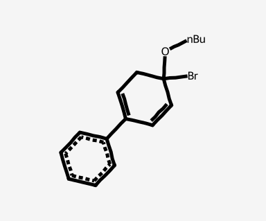 CCCCOC1(Br)C=CC(c2ccccc2)=CC1